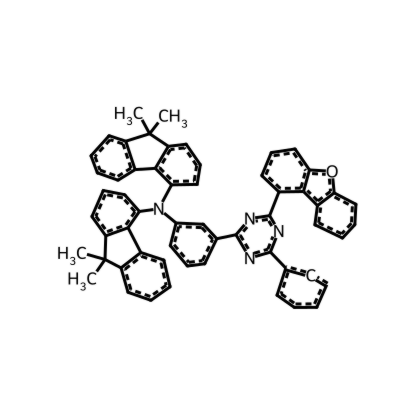 CC1(C)c2ccccc2-c2c(N(c3cccc(-c4nc(-c5ccccc5)nc(-c5cccc6oc7ccccc7c56)n4)c3)c3cccc4c3-c3ccccc3C4(C)C)cccc21